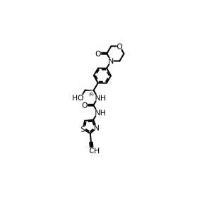 C#Cc1nc(NC(=O)N[C@@H](CO)c2ccc(N3CCOCC3=O)cc2)cs1